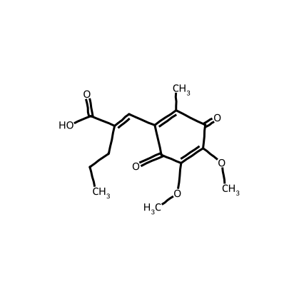 CCCC(=CC1=C(C)C(=O)C(OC)=C(OC)C1=O)C(=O)O